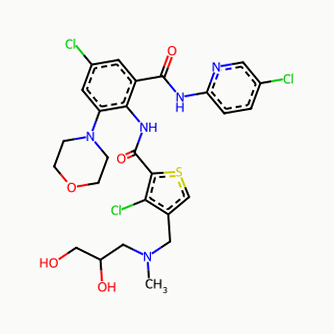 CN(Cc1csc(C(=O)Nc2c(C(=O)Nc3ccc(Cl)cn3)cc(Cl)cc2N2CCOCC2)c1Cl)CC(O)CO